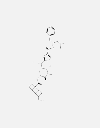 CC[C@H](C)[C@H](NC(=O)C12C3C4C1C1C2C3C41NC)C(=O)N(C)[C@H](C[C@@H](OC(C)=O)c1nc(C(=O)N[C@@H](Cc2ccccc2)C[C@H](C)C(=O)O)cs1)C(C)C